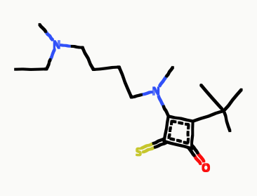 CCN(C)CCCCN(C)c1c(C(C)(C)C)c(=O)c1=S